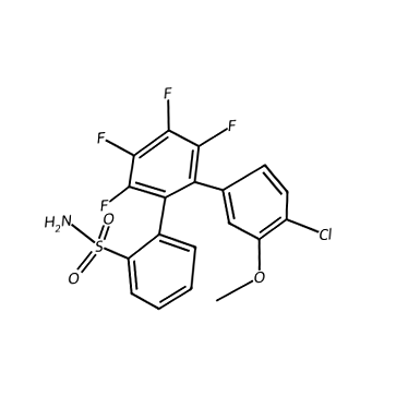 COc1cc(-c2c(F)c(F)c(F)c(F)c2-c2ccccc2S(N)(=O)=O)ccc1Cl